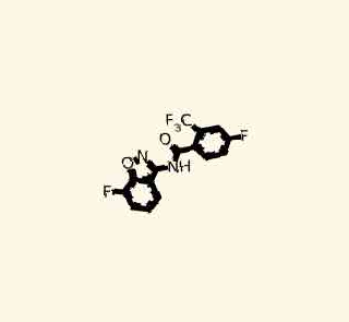 O=C(Nc1noc2c(F)cccc12)c1ccc(F)cc1C(F)(F)F